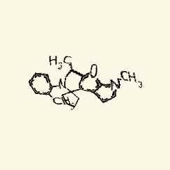 Cc1ccccc1N1[C@@H](C)c2oc3c(ccn3C)c2C12CCCC2